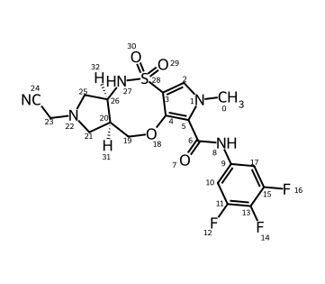 Cn1cc2c(c1C(=O)Nc1cc(F)c(F)c(F)c1)OC[C@H]1CN(CC#N)C[C@H]1NS2(=O)=O